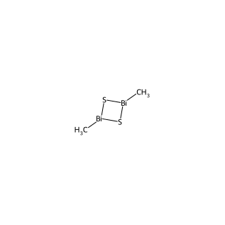 [CH3][Bi]1[S][Bi]([CH3])[S]1